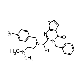 CCC(c1nc2sccc2c(=O)n1Cc1ccccc1)N(CCN(C)C)Cc1ccc(Br)cc1